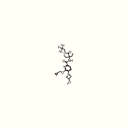 [2H]C([2H])(F)COC(=O)C(CC)(CC)NC(=O)c1ccc(N2CC(OC)C2)c(OCC2CC2)n1